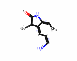 C/C=C1/NC(=O)C(C(C)(C)C)/C1=C/C=C\N